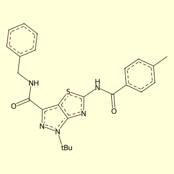 Cc1ccc(C(=O)Nc2nc3c(s2)c(C(=O)NCc2ccccc2)nn3C(C)(C)C)cc1